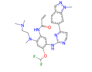 C=CC(=O)Nc1cc(Nc2nccc(-c3ccc4cnn(C)c4c3)n2)c(OC(F)F)cc1N(C)CCN(C)C